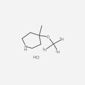 Cl.[2H]C([2H])([2H])OC1(C)CCNCC1